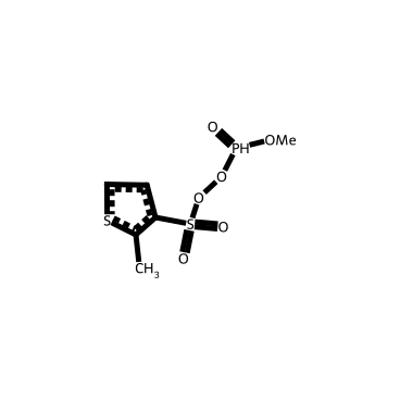 CO[PH](=O)OOS(=O)(=O)c1ccsc1C